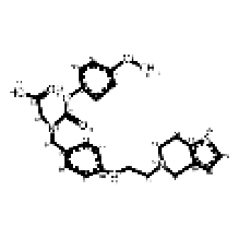 COc1ccc(OC(=O)N(CC(=O)O)Cc2ccc(OCCN3CCc4sccc4C3)cc2)cc1